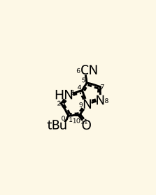 CC(C)(C)c1c[nH]c2c(C#N)cnn2c1=O